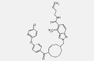 COCCNC(=O)c1ccc2nn(CC3CCCCC(C(=O)c4ccc(Oc5ccc(Cl)cn5)cc4)CCC3)cc2c1C